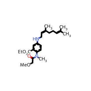 CCOC(=O)c1cc(NCC=C(C)CCC=C(C)C)ccc1N(C)C(=O)COC